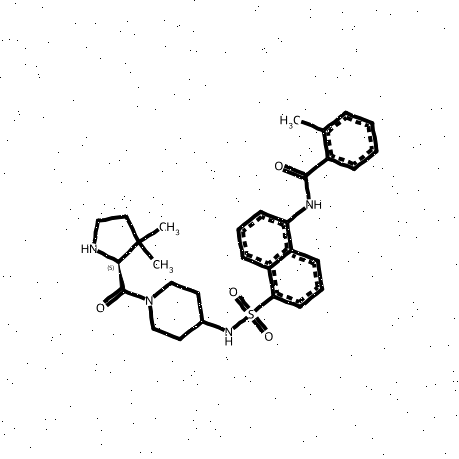 Cc1ccccc1C(=O)Nc1cccc2c(S(=O)(=O)NC3CCN(C(=O)[C@H]4NCCC4(C)C)CC3)cccc12